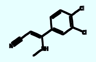 CNC(=CC#N)c1ccc(Cl)c(Cl)c1